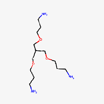 NCCCOCC(COCCCN)COCCCN